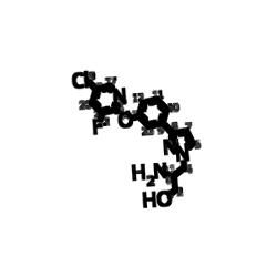 N[C@H](CO)Cn1ccc(-c2cccc(Oc3ncc(Cl)cc3F)c2)n1